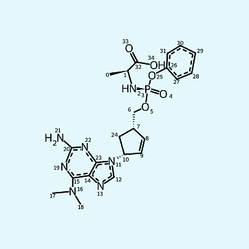 C[C@H](N[P@@](=O)(OC[C@@H]1C=C[C@H](n2cnc3c(N(C)C)nc(N)nc32)C1)Oc1ccccc1)C(=O)O